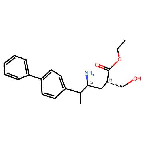 CCOC(=O)[C@H](CO)C[C@H](N)C(C)c1ccc(-c2ccccc2)cc1